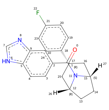 O=C(c1ccc2[nH]cnc2c1)N1[C@@H]2CC[C@H]1C[C@@H](c1ccc(F)cc1)C2